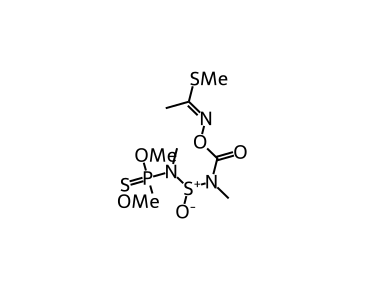 COP(=S)(OC)N(C)[S+]([O-])N(C)C(=O)ON=C(C)SC